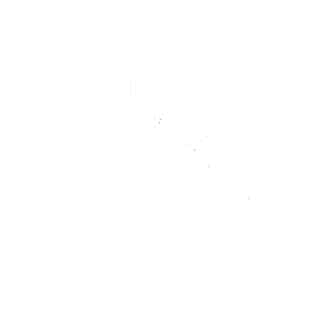 CS(=O)(=O)N[C@H]1CCCN(C(=O)NCC#N)[C@H]1CO[C@H]1CC[C@@H](c2ccccc2)CC1